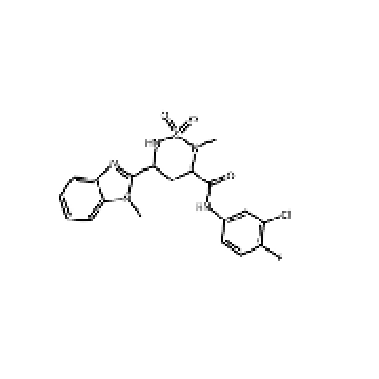 CN1C(C(=O)Nc2ccc(F)c(Cl)c2)CC(c2nc3ccccc3n2C)NS1(=O)=O